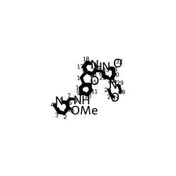 COc1cccnc1CNc1ccc2c(c1)Cc1ccnc(-c3cc(N4CCOCC4)cc(=O)[nH]3)c1O2